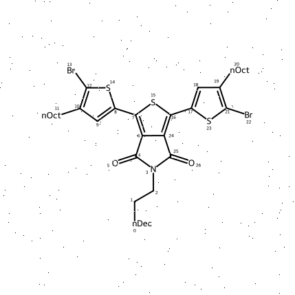 CCCCCCCCCCCCN1C(=O)c2c(-c3cc(CCCCCCCC)c(Br)s3)sc(-c3cc(CCCCCCCC)c(Br)s3)c2C1=O